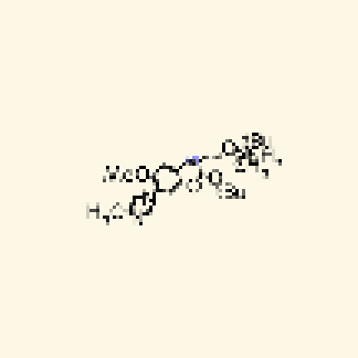 COc1cc(/C=C(/CCO[Si](C)(C)C(C)(C)C)C(=O)OC(C)(C)C)ccc1-n1cnc(C)c1